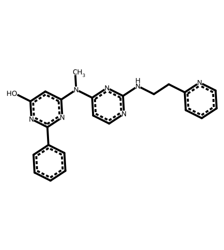 CN(c1ccnc(NCCc2ccccn2)n1)c1cc(O)nc(-c2ccccc2)n1